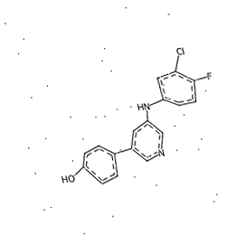 Oc1ccc(-c2cncc(Nc3ccc(F)c(Cl)c3)c2)cc1